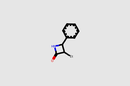 CCC1C(=O)NC1c1ccccc1